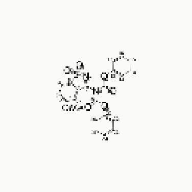 COc1cccc2c1C(N(C(=O)Oc1ccccc1)C(=O)Oc1ccccc1)=NS2(=O)=O